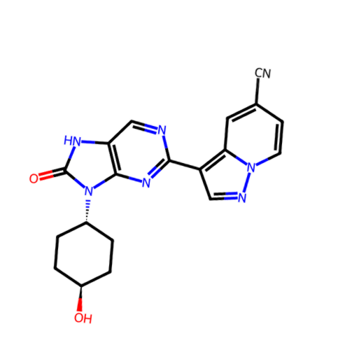 N#Cc1ccn2ncc(-c3ncc4[nH]c(=O)n([C@H]5CC[C@H](O)CC5)c4n3)c2c1